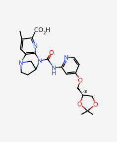 Cc1cc2c(nc1C(=O)O)N(C(=O)Nc1cc(OC[C@H]3COC(C)(C)O3)ccn1)C1CCN2C1